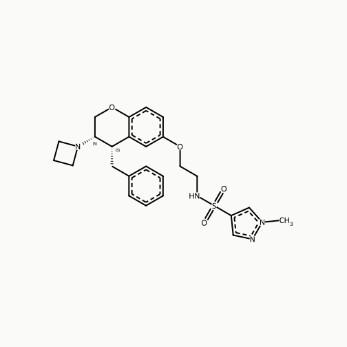 Cn1cc(S(=O)(=O)NCCOc2ccc3c(c2)[C@H](Cc2ccccc2)[C@H](N2CCC2)CO3)cn1